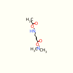 C=CC(=O)OCNCC/C=C/C(=O)OCN(C)C